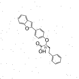 O=C(O)[C@H](CCc1ccccc1)Oc1ccc(-c2cc3ccccc3o2)cc1